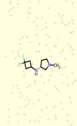 CN1CC[C@@H](NC2CC(F)(F)C2)C1